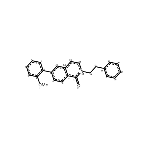 COc1ccccc1-c1ccc2c(=O)n(CCc3ccccc3)ccc2c1